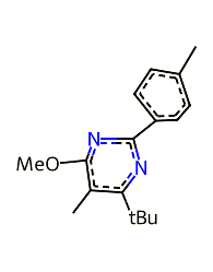 COc1nc(-c2ccc(C)cc2)nc(C(C)(C)C)c1C